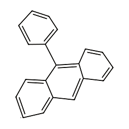 [c]1ccc2c(-c3ccccc3)c3ccccc3cc2c1